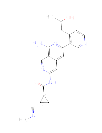 C/N=C/[C@H]1C[C@@H]1C(=O)Nc1cc2cc(-c3cnccc3CC(C)O)nc(N)c2cn1